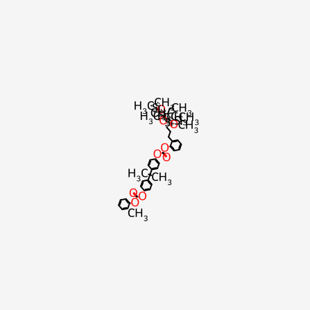 CCC[Si](C)(O[Si](C)(C)C)O[Si](C)(CCCc1ccccc1OC(=O)Oc1ccc(C(C)(C)c2ccc(OC(=O)Oc3ccccc3C)cc2)cc1)O[Si](C)(C)C